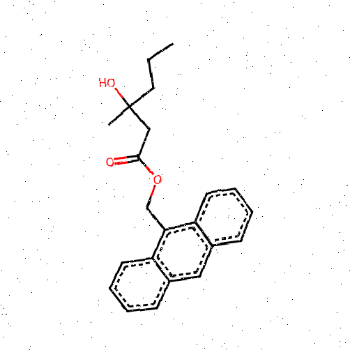 CCCC(C)(O)CC(=O)OCc1c2ccccc2cc2ccccc12